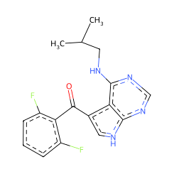 CC(C)CNc1ncnc2[nH]cc(C(=O)c3c(F)cccc3F)c12